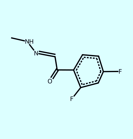 CN/N=C/C(=O)c1ccc(F)cc1F